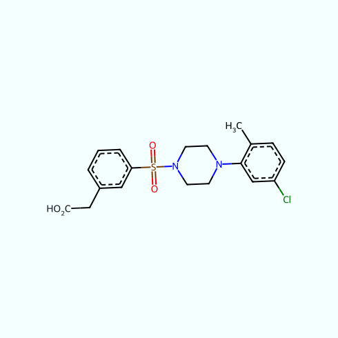 Cc1ccc(Cl)cc1N1CCN(S(=O)(=O)c2cccc(CC(=O)O)c2)CC1